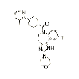 Cc1cccnc1N1CCC(C(=O)N2CCc3nc(N4CCOCC4)[nH]c3-c3cc(F)ccc32)CC1